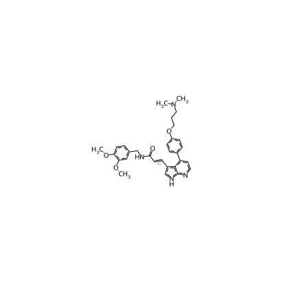 COc1ccc(CNC(=O)/C=C/c2c[nH]c3nccc(-c4ccc(OCCCN(C)C)cc4)c23)cc1OC